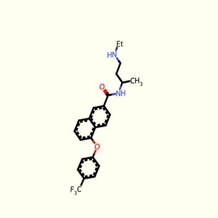 CCNCCC(C)NC(=O)c1ccc2c(Oc3ccc(C(F)(F)F)cc3)cccc2c1